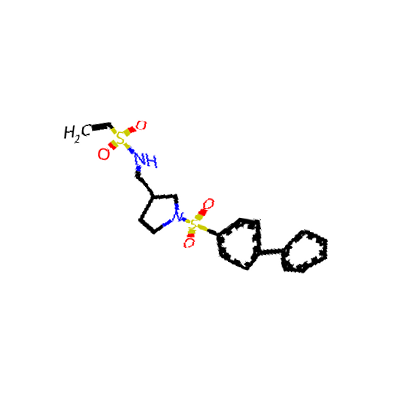 C=CS(=O)(=O)NCC1CCN(S(=O)(=O)c2ccc(-c3ccccc3)cc2)C1